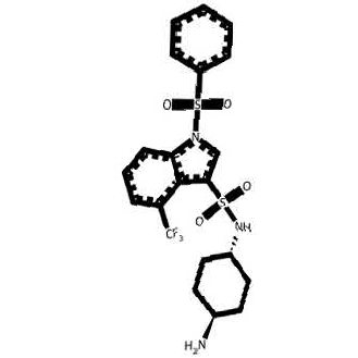 N[C@H]1CC[C@H](NS(=O)(=O)c2cn(S(=O)(=O)c3ccccc3)c3cccc(C(F)(F)F)c23)CC1